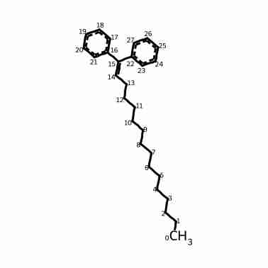 CCCCCCCCCCCCCCC=C(c1ccccc1)c1ccccc1